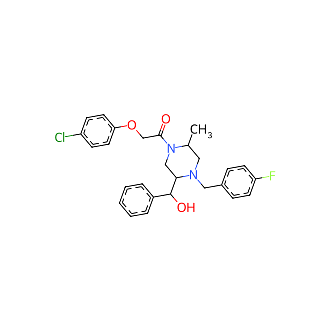 CC1CN(Cc2ccc(F)cc2)C(C(O)c2ccccc2)CN1C(=O)COc1ccc(Cl)cc1